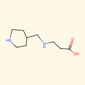 O=C(O)CCNCC1CCNCC1